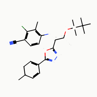 Cc1c(N[C@@H](c2nnc(C3=CCC(C)C=C3)o2)[C@@H](C)O[Si](C)(C)C(C)(C)C)ccc(C#N)c1Cl